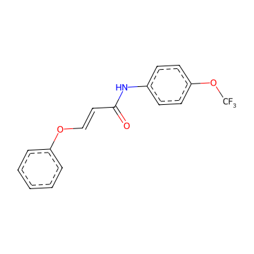 O=C(C=COc1ccccc1)Nc1ccc(OC(F)(F)F)cc1